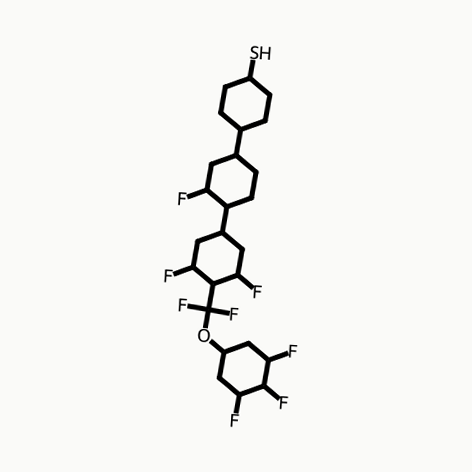 FC1CC(OC(F)(F)C2C(F)CC(C3CCC(C4CCC(S)CC4)CC3F)CC2F)CC(F)C1F